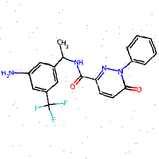 CC(NC(=O)c1ccc(=O)n(-c2ccccc2)n1)c1cc(N)cc(C(F)(F)F)c1